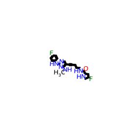 CNc1nc(Nc2ccc(F)cc2)ncc1C#CCCCNC(=O)C1C[C@H](F)CN1